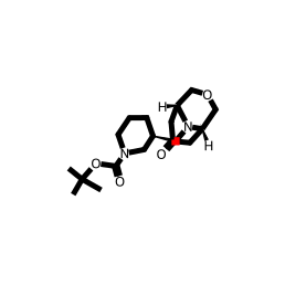 CC(C)(C)OC(=O)N1CCC[C@@H](CN2[C@@H]3COC[C@H]2CC(=O)C3)C1